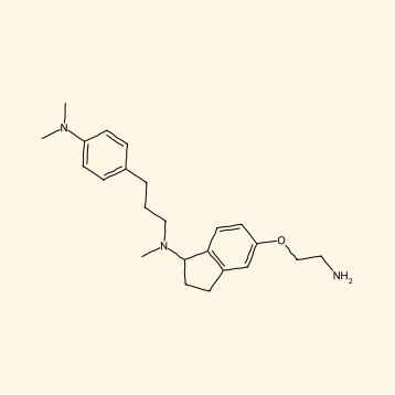 CN(C)c1ccc(CCCN(C)C2CCc3cc(OCCN)ccc32)cc1